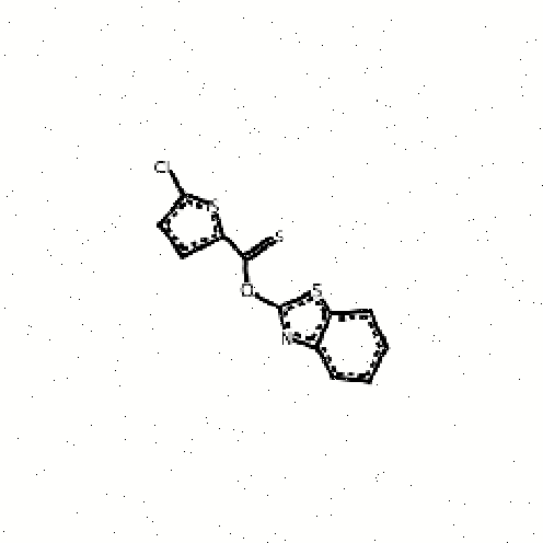 S=C(Oc1nc2ccccc2s1)c1ccc(Cl)s1